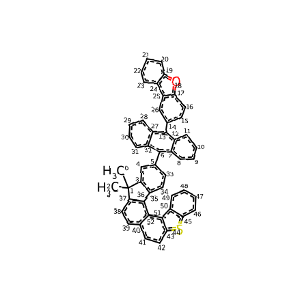 CC1(C)c2cc(-c3c4ccccc4c(-c4ccc5oc6ccccc6c5c4)c4ccccc34)ccc2-c2c1ccc1ccc3sc4ccccc4c3c21